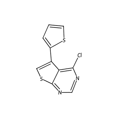 Clc1ncnc2scc(-c3cccs3)c12